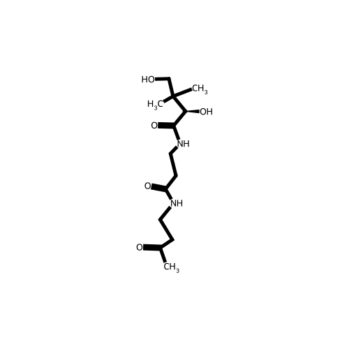 CC(=O)CCNC(=O)CCNC(=O)[C@H](O)C(C)(C)CO